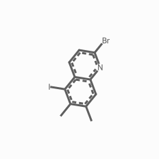 Cc1cc2nc(Br)ccc2c(I)c1C